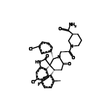 Cc1ccc(F)cc1[C@H]1CC(=O)N(CC(=O)N2CCCC(C(N)=O)C2)[C@@H](c2cccc(Cl)c2)[C@]12C(=O)Nc1cc(Cl)ccc12